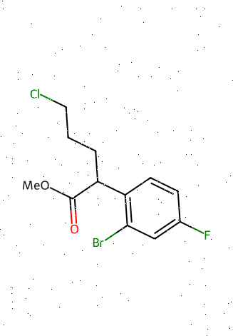 COC(=O)C(CCCCl)c1ccc(F)cc1Br